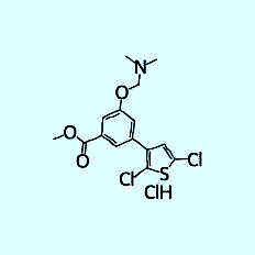 COC(=O)c1cc(OCN(C)C)cc(-c2cc(Cl)sc2Cl)c1.Cl